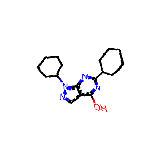 Oc1nc(C2CCCCC2)nc2c1cnn2C1CCCCC1